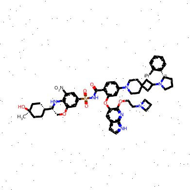 CC(C)c1ccccc1[C@@H]1CCCN1C1CC2(CCN(c3ccc(C(=O)NS(=O)(=O)c4cc5c(c([N+](=O)[O-])c4)N[C@@H]([C@H]4CC[C@](C)(O)CC4)CO5)c(Oc4cc5cc[nH]c5nc4OCCN4CCC4)c3)CC2)C1